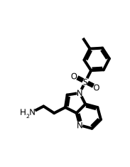 Cc1cccc(S(=O)(=O)n2cc(CCN)c3ncccc32)c1